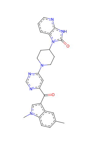 Cc1ccc2c(c1)c(C(=O)c1cc(N3CCC(n4c(=O)[nH]c5ncccc54)CC3)ncn1)cn2C